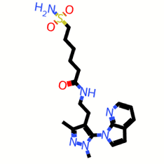 Cc1nn(C)c(-n2ccc3cccnc32)c1CCNC(=O)CCCCCS(N)(=O)=O